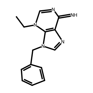 CCn1cnc(=N)c2ncn(Cc3ccccc3)c21